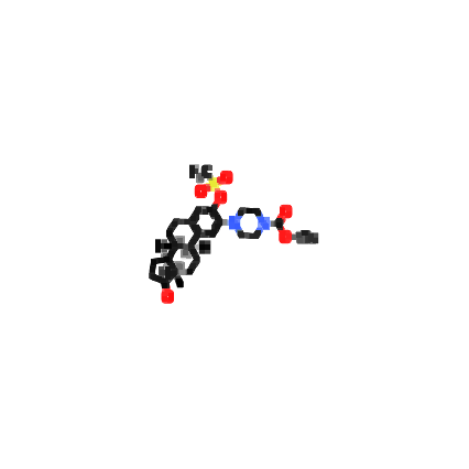 CC(C)(C)OC(=O)N1CCN(c2cc3c(cc2OS(=O)(=O)C(F)(F)F)CC[C@@H]2[C@@H]3CC[C@]3(C)C(=O)CC[C@@H]23)CC1